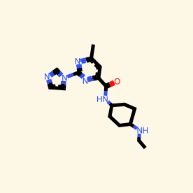 CCNC1CCC(NC(=O)c2cc(C)nc(-n3ccnc3)n2)CC1